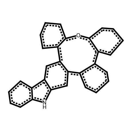 c1ccc2c(c1)[nH]c1cc3c(cc12)c1ccccc1oc1ccccc1c1ccccc13